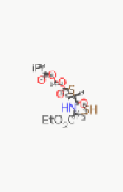 CCOC(=O)[C@H](CS)NC(=O)C(C)(C)SC(=O)OCOC(=O)C(C)C